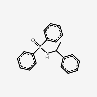 CC(NP(=O)(c1ccccc1)c1ccccc1)c1ccccc1